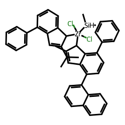 CC1=Cc2c(-c3cccc4ccccc34)ccc(-c3ccccc3)c2[CH]1[Zr]([Cl])([Cl])([CH]1C(C(C)C)=Cc2c(-c3ccccc3)cccc21)[SiH](C)C